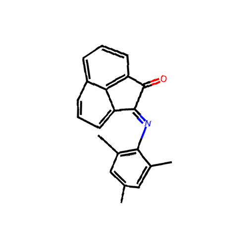 Cc1cc(C)c(N=C2C(=O)c3cccc4cccc2c34)c(C)c1